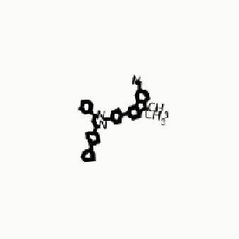 CC1(C)c2ccc(C#N)cc2-c2cc(-c3ccc(-c4nc(-c5ccccc5)cc(-c5ccc(-c6ccccc6)cc5)n4)cc3)ccc21